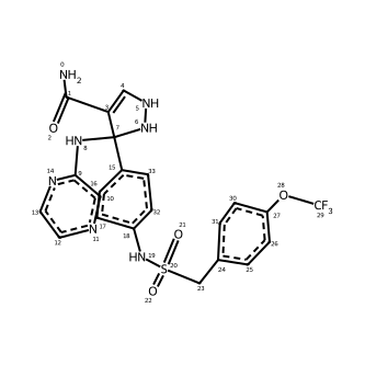 NC(=O)C1=CNNC1(Nc1cnccn1)c1ccc(NS(=O)(=O)Cc2ccc(OC(F)(F)F)cc2)cc1